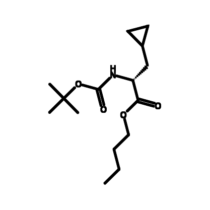 CCCCOC(=O)[C@@H](CC1CC1)NC(=O)OC(C)(C)C